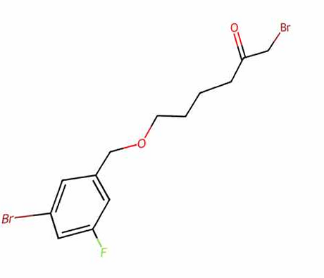 O=C(CBr)CCCCOCc1cc(F)cc(Br)c1